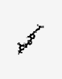 O=C(O)CCNCc1ccc(-c2noc(-c3cn4cc(C(F)(F)F)cc(Cl)c4n3)n2)c(Cl)c1